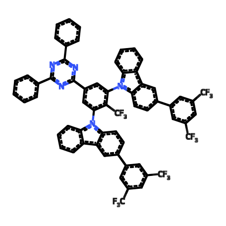 FC(F)(F)c1cc(-c2ccc3c(c2)c2ccccc2n3-c2cc(-c3nc(-c4ccccc4)nc(-c4ccccc4)n3)cc(-n3c4ccccc4c4cc(-c5cc(C(F)(F)F)cc(C(F)(F)F)c5)ccc43)c2C(F)(F)F)cc(C(F)(F)F)c1